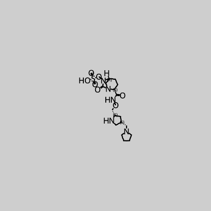 O=C(NOC[C@@H]1C[C@H](CN2CCCC2)CN1)[C@@H]1CC[C@@H]2CN1C(=O)N2OS(=O)(=O)O